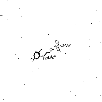 CNC(CCOCCNC(=O)OC)c1cc(Cl)ccc1C